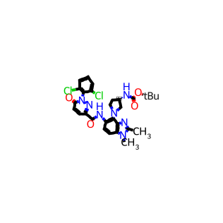 Cc1nc2c(N3CC[C@H](NC(=O)OC(C)(C)C)C3)c(NC(=O)c3ccc(=O)n(-c4c(Cl)cccc4Cl)n3)ccc2n1C